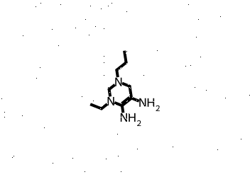 CCCN1CC(N)=C(N)N(CC)C1